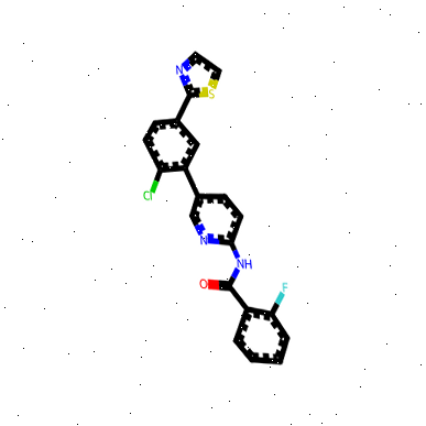 O=C(Nc1ccc(-c2cc(-c3nccs3)ccc2Cl)cn1)c1ccccc1F